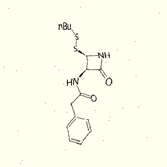 CCCCSS[C@H]1NC(=O)[C@H]1NC(=O)Cc1ccccc1